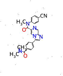 CN(C)C(=O)c1ccc(-c2cnc3cnc(C(=O)N(C)c4ccc(C#N)cc4)cn23)cc1